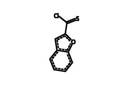 S=C(Cl)c1cc2ccccc2o1